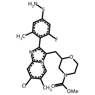 COC(=O)N1CCOC(Cc2c(-c3c(C)cc(SN)cc3F)nc3cc(Cl)c(C)cn23)C1